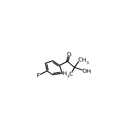 CC(C)(O)C(=O)c1ccc(F)cc1